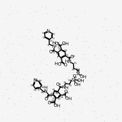 O=C(O)c1cc(C(=O)NCc2ccncc2)c(C(=O)O)cc1C(=O)NCCC[SiH](O)O[Si](O)(O)CCCNC(=O)c1cc(C(=O)NCc2ccncc2)c(C(=O)O)cc1C(=O)O